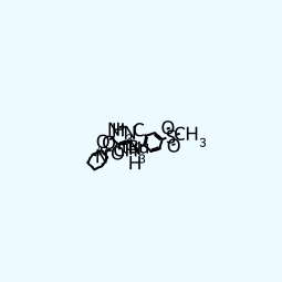 Cc1cc(S(C)(=O)=O)ccc1Nc1ncnc(O[C@H]2CC3CCC2N3C(=O)OC(C)(C)C)c1C